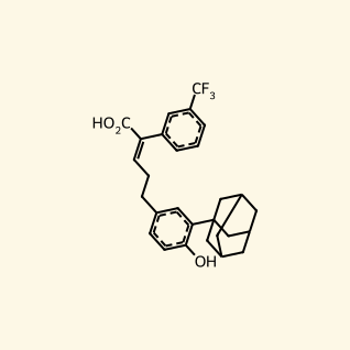 O=C(O)/C(=C/CCc1ccc(O)c(C23CC4CC(CC(C4)C2)C3)c1)c1cccc(C(F)(F)F)c1